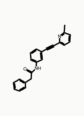 Cc1cccc(C#Cc2cccc(NC(=O)Cc3ccccc3)c2)n1